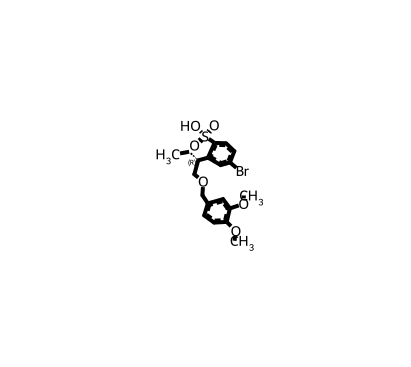 CC[C@@H](COCc1ccc(OC)c(OC)c1)c1cc(Br)ccc1S(=O)(=O)O